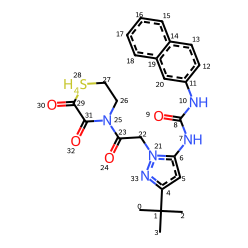 CC(C)(C)c1cc(NC(=O)Nc2ccc3ccccc3c2)n(CC(=O)N2CC[SH4]C(=O)C2=O)n1